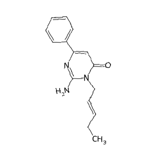 CC/C=C/Cn1c(N)nc(-c2ccccc2)cc1=O